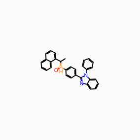 CC(c1cccc2ccccc12)[PH](=O)c1ccc(-c2nc3ccccc3n2-c2ccccc2)cc1